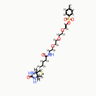 Cc1ccc(S(=O)(=O)OC=COCCOCCOCCNC(=O)CCCC[C@@H]2SC[C@@H]3NC(=O)N[C@@H]32)cc1